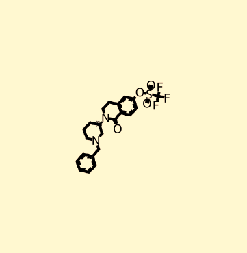 O=C1c2ccc(OS(=O)(=O)C(F)(F)F)cc2CCN1[C@@H]1CCCN(Cc2ccccc2)C1